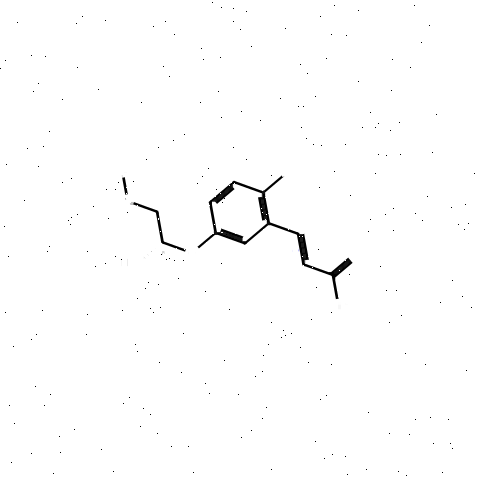 CC(C)C(=O)/C=C/c1cc(O[C@H](C)CNS)ccc1F